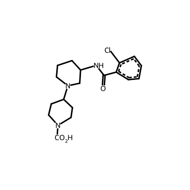 O=C(NC1CCCN(C2CCN(C(=O)O)CC2)C1)c1ccccc1Cl